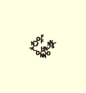 Cc1nnc(CNc2cc(OCC[C@@H](C)c3ccc(OC(F)F)cn3)nn(C)c2=O)s1